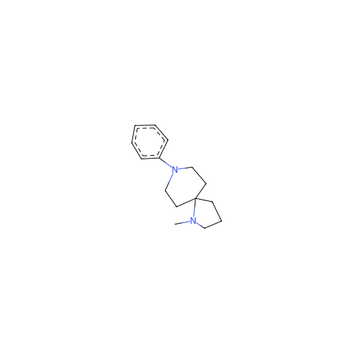 CN1CCCC12CCN(c1ccccc1)CC2